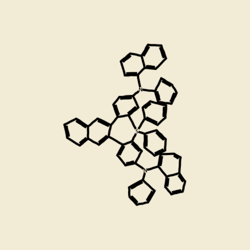 c1ccc(N(c2ccc3c(c2)S(c2ccccc2)(c2ccccc2)c2cc(N(c4ccccc4)c4cccc5ccccc45)ccc2-c2cc4ccccc4cc2-3)c2cccc3ccccc23)cc1